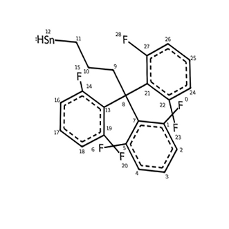 Fc1cccc(F)c1C(CC[CH2][SnH])(c1c(F)cccc1F)c1c(F)cccc1F